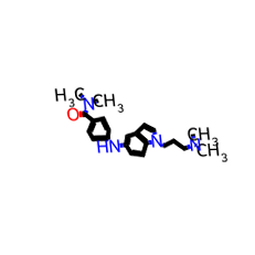 CN(C)CCCn1ccc2cc(Nc3ccc(C(=O)N(C)C)cc3)ccc21